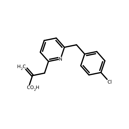 C=C(Cc1cccc(Cc2ccc(Cl)cc2)n1)C(=O)O